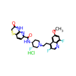 COc1cc(F)c2ncc(F)c(CCN3CC[C@@H](NC(=O)c4ccc5c(n4)NC(=O)CS5)[C@@H](F)C3)c2c1.Cl